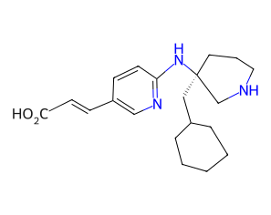 O=C(O)/C=C/c1ccc(N[C@@]2(CC3CCCCC3)CCCNC2)nc1